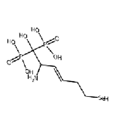 NC(C=CCC[SeH])C(O)(P(=O)(O)O)P(=O)(O)O